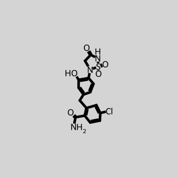 NC(=O)c1ccc(Cl)cc1Cc1ccc(N2CC(=O)NS2(=O)=O)c(O)c1